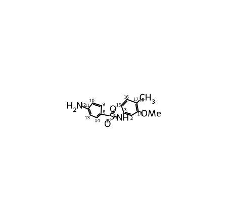 COc1cc(NS(=O)(=O)c2ccc(N)cc2)ccc1C